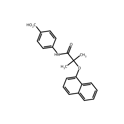 CC(C)(Oc1cccc2ccccc12)C(=O)Nc1ccc(C(=O)O)cc1